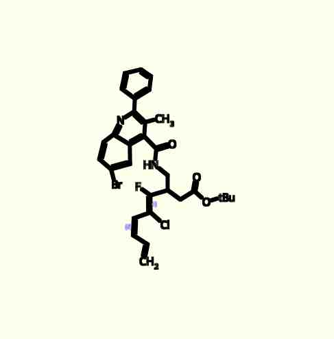 C=C/C=C\C(Cl)=C(/F)C(CNC(=O)c1c(C)c(-c2ccccc2)nc2ccc(Br)cc12)CC(=O)OC(C)(C)C